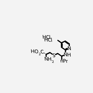 CCCC(CSC[C@H](N)C(=O)O)Nc1cc(C)ccn1.Cl.Cl